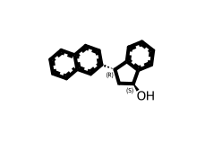 O[C@H]1C[C@H](c2ccc3ccccc3c2)c2ccccc21